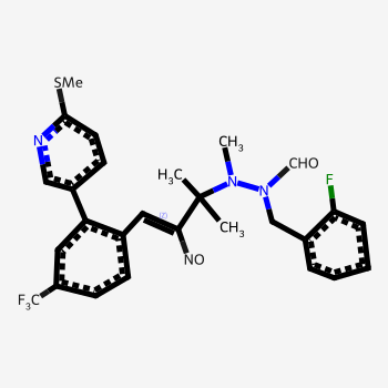 CSc1ccc(-c2cc(C(F)(F)F)ccc2/C=C(\N=O)C(C)(C)N(C)N(C=O)Cc2ccccc2F)cn1